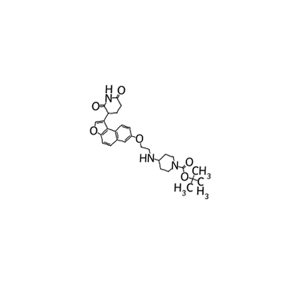 CC(C)(C)OC(=O)N1CCC(NCCOc2ccc3c(ccc4occ(C5CCC(=O)NC5=O)c43)c2)CC1